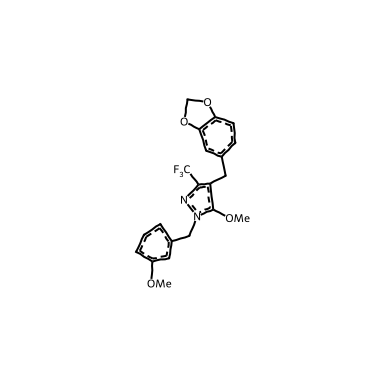 COc1cccc(Cn2nc(C(F)(F)F)c(Cc3ccc4c(c3)OCO4)c2OC)c1